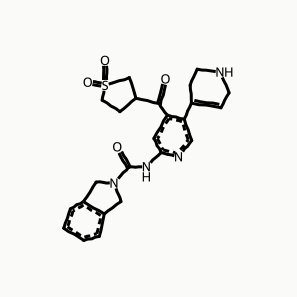 O=C(c1cc(NC(=O)N2Cc3ccccc3C2)ncc1C1=CCNCC1)C1CCS(=O)(=O)C1